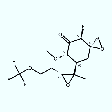 CO[C@@H]1C(=O)[C@@H](F)[C@]2(CO2)C[C@H]1C1(C)O[C@@H]1CCOC(F)(F)F